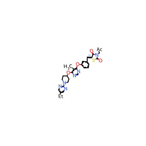 CCc1cnc(N2CCC(Oc3ncnc(Oc4cccc(/C=C5\SC(=O)N(CC(C)=O)C5=O)c4)c3C)CC2)nc1